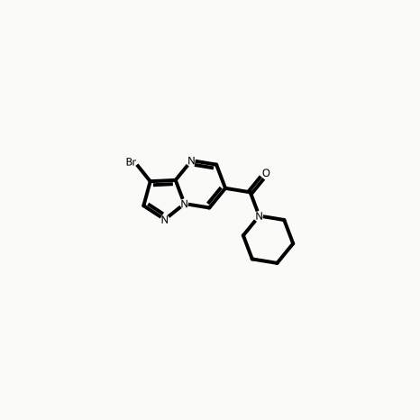 O=C(c1cnc2c(Br)cnn2c1)N1CCCCC1